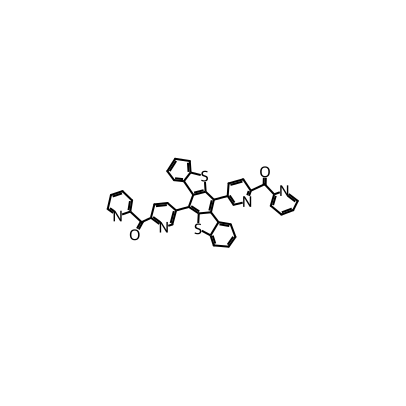 O=C(c1ccccn1)c1ccc(-c2c3sc4ccccc4c3c(-c3ccc(C(=O)c4ccccn4)nc3)c3sc4ccccc4c23)cn1